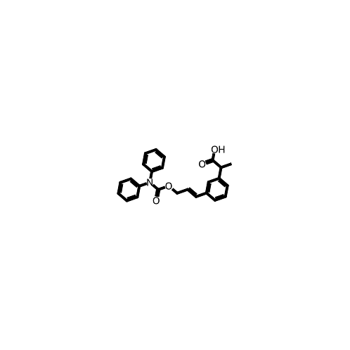 CC(C(=O)O)c1cccc(C=CCOC(=O)N(c2ccccc2)c2ccccc2)c1